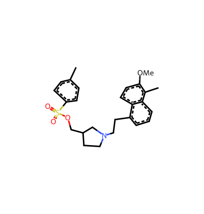 COc1ccc2c(CCN3CCC(COS(=O)(=O)c4ccc(C)cc4)C3)cccc2c1C